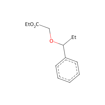 CCOC(=O)COC(CC)c1ccccc1